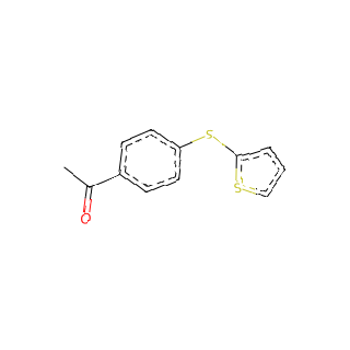 CC(=O)c1ccc(Sc2cccs2)cc1